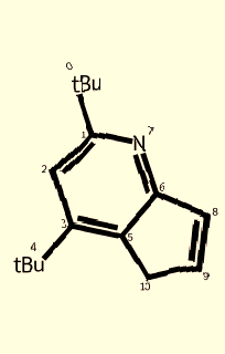 CC(C)(C)c1cc(C(C)(C)C)c2c(n1)C=CC2